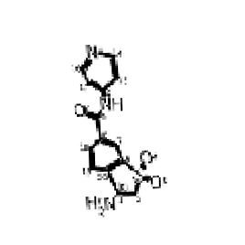 N[C@H]1CS(=O)(=O)c2cc(C(=O)Nc3ccncc3)ccc21